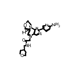 Nc1ccc(-c2ncc3c(n2)N2CCOC[C@H]2CN3CC(=O)NCC2CCOCC2)cn1